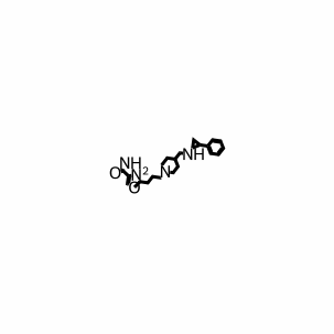 NC(=O)c1coc(CCCN2CCC(CNC3CC3c3ccccc3)CC2)n1